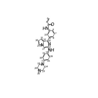 C=CC(=O)Nc1cccc(-c2nc(Nc3ccc(N4CCN(C)CC4)cc3)cn3cccc23)c1